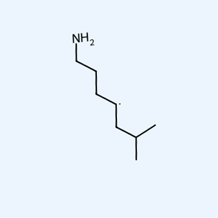 CC(C)C[CH]CCCN